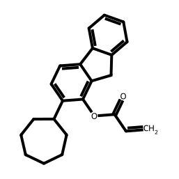 C=CC(=O)Oc1c(C2CCCCCC2)ccc2c1Cc1ccccc1-2